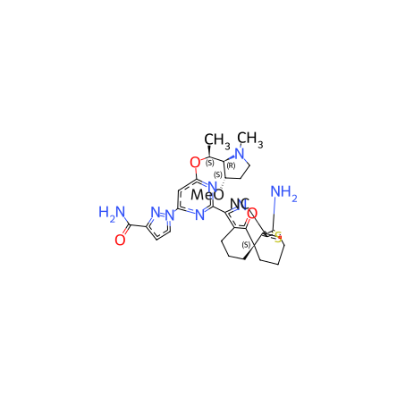 CO[C@H]1CCN(C)[C@@H]1[C@H](C)Oc1cc(-n2ccc(C(N)=O)n2)nc(-c2noc3c2CCC[C@@]32CCCc3sc(N)c(C#N)c32)n1